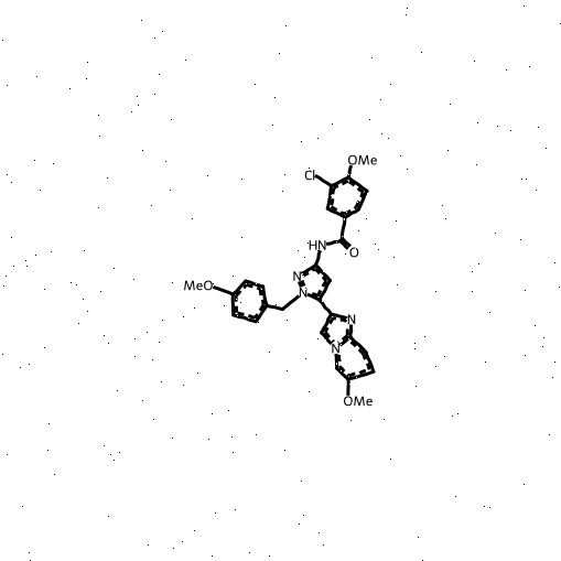 COc1ccc(Cn2nc(NC(=O)c3ccc(OC)c(Cl)c3)cc2-c2cn3cc(OC)ccc3n2)cc1